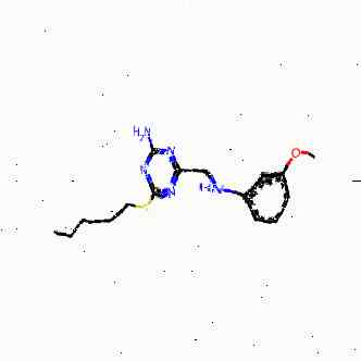 CCCCCSc1nc(N)nc(CNc2cccc(OC)c2)n1